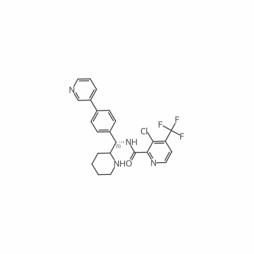 O=C(N[C@@H](c1ccc(-c2cccnc2)cc1)C1CCCCN1)c1nccc(C(F)(F)F)c1Cl